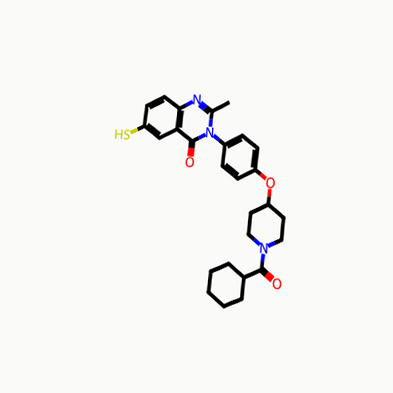 Cc1nc2ccc(S)cc2c(=O)n1-c1ccc(OC2CCN(C(=O)C3CCCCC3)CC2)cc1